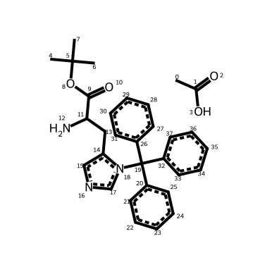 CC(=O)O.CC(C)(C)OC(=O)C(N)Cc1cncn1C(c1ccccc1)(c1ccccc1)c1ccccc1